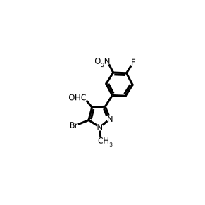 Cn1nc(-c2ccc(F)c([N+](=O)[O-])c2)c(C=O)c1Br